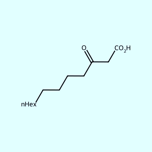 CCCCCCCCCCC(=O)CC(=O)O